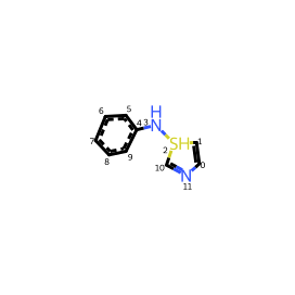 C1=C[SH](Nc2ccccc2)C=N1